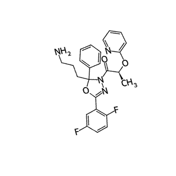 C[C@H](Oc1ccccn1)C(=O)N1N=C(c2cc(F)ccc2F)OC1(CCCN)c1ccccc1